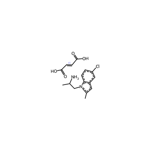 Cc1cc2cc(Cl)ccc2n1CC(C)N.O=C(O)/C=C/C(=O)O